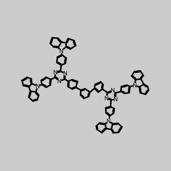 c1cc(-c2ccc(-c3nc(-c4ccc(-n5c6ccccc6c6ccccc65)cc4)nc(-c4ccc(-n5c6ccccc6c6ccccc65)cc4)n3)cc2)cc(-c2cccc(-c3nc(-c4ccc(-n5c6ccccc6c6ccccc65)cc4)nc(-c4ccc(-n5c6ccccc6c6ccccc65)cc4)n3)c2)c1